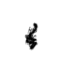 COC(=O)[C@H](Cc1cccc(CNC(=O)OCc2ccccc2)c1)NC(=O)[C@@H](Cc1cccc(CNC(=O)OCc2ccccc2)c1)NS(=O)(=O)Cc1ccccc1